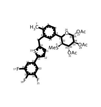 CS[C@H]1C(c2ccc(C)c(Cc3ccc(-c4cc(F)c(F)c(F)c4)s3)c2)O[C@H](OC(C)=O)[C@@H](OC(C)=O)[C@@H]1OC(C)=O